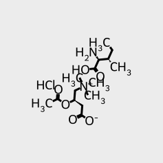 CC(=O)O[C@H](CC(=O)[O-])C[N+](C)(C)C.CC[C@H](C)[C@H](N)C(=O)O.Cl